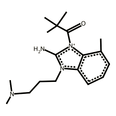 Cc1cccc2c1[n+](C(=O)C(C)(C)C)c(N)n2CCCN(C)C